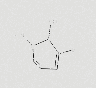 BC1=CC=CN(N)C1C